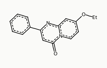 CCOc1ccn2c(=O)cc(-c3ccccc3)nc2c1